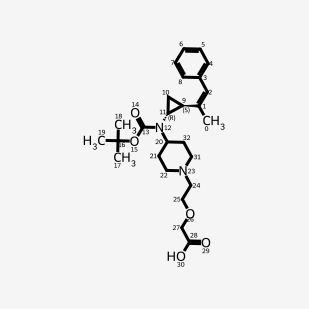 CC(=Cc1ccccc1)[C@@H]1C[C@H]1N(C(=O)OC(C)(C)C)C1CCN(CCOCC(=O)O)CC1